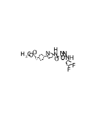 COC(=O)C1C[C@]12CC[C@H](c1ccc(NC(=O)c3nnc(Nc4ccc(F)c(F)c4)o3)cn1)CC2